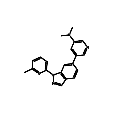 Cc1cccc(-n2ncc3ccc(-c4cncc(N(C)C)c4)cc32)n1